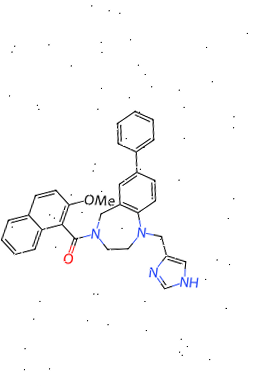 COc1ccc2ccccc2c1C(=O)N1CCN(Cc2c[nH]cn2)c2ccc(-c3ccccc3)cc2C1